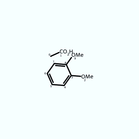 CC(=O)O.COc1ccccc1OC